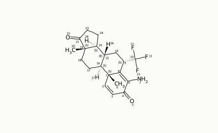 C[C@]12C=CC(=O)C(N)=C1[C@@H](C(F)(F)F)C[C@@H]1[C@@H]2CC[C@]2(C)C(=O)CC[C@@H]12